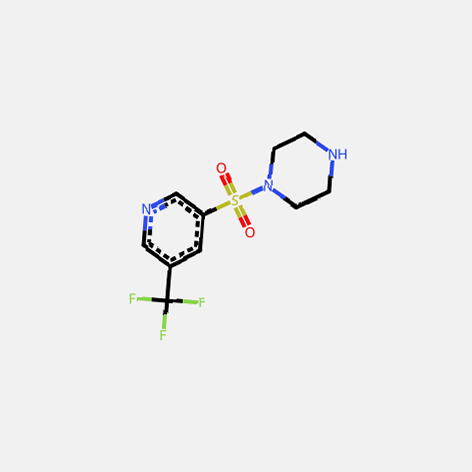 O=S(=O)(c1cncc(C(F)(F)F)c1)N1CCNCC1